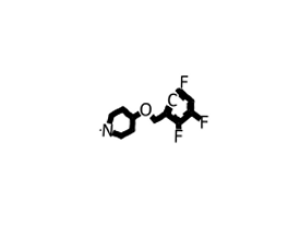 Fc1cc(F)c(F)c(COC2CC[N]CC2)c1